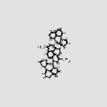 CC1=C2CCc3c(N(c4ccccn4)c4cccc5ccccc45)cc(C)c4ccc(c2c34)C(N(C2=NC=CCC2)c2cccc3c2C=CCC3)C1